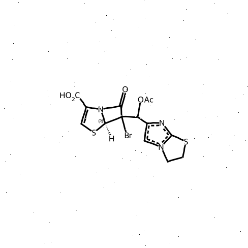 CC(=O)OC(c1cn2c(n1)SCC2)C1(Br)C(=O)N2C(C(=O)O)=CS[C@@H]21